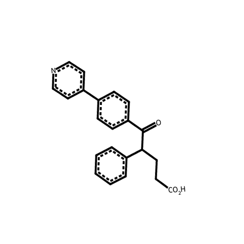 O=C(O)CCC(C(=O)c1ccc(-c2ccncc2)cc1)c1ccccc1